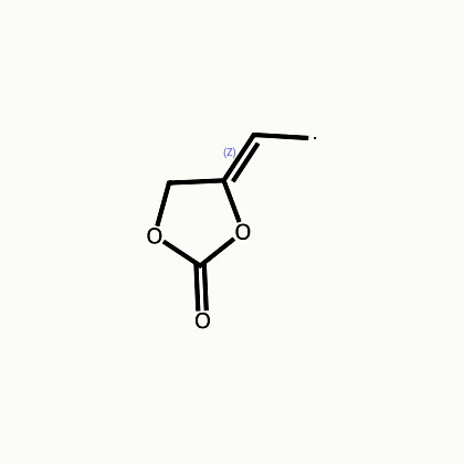 [CH2]/C=C1/COC(=O)O1